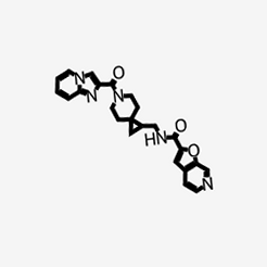 O=C(NCC1CC12CCN(C(=O)c1cn3ccccc3n1)CC2)c1cc2ccncc2o1